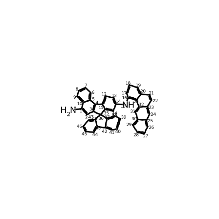 Nc1cc2c(c3ccccc13)-c1ccc(Nc3cccc4ccc5cc6ccccc6cc5c34)cc1C21c2ccccc2-c2ccccc21